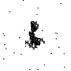 Cc1cn2cc(-c3cc4sc(N(C)[C@H]5C[C@]6(C)CC[C@@](C)(N6)[C@H]5F)nc4cn3)cc(F)c2n1